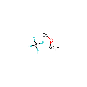 CCOS(=O)(=O)O.F[B-](F)(F)F